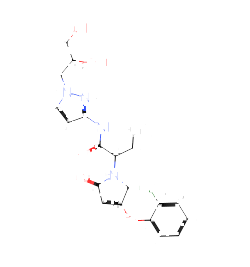 O=C(Nc1ccn(CC(O)CO)n1)C(CC(F)(F)F)N1CC(Oc2ccccc2Cl)=CC1=O